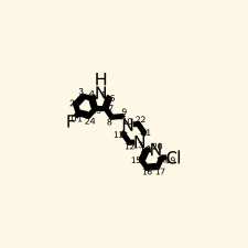 Fc1ccc2[nH]cc(CCN3CCN(c4cccc(Cl)n4)CC3)c2c1